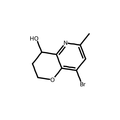 Cc1cc(Br)c2c(n1)C(O)CCO2